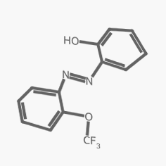 Oc1ccccc1/N=N/c1ccccc1OC(F)(F)F